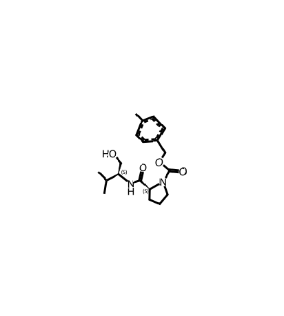 Cc1ccc(COC(=O)N2CCC[C@H]2C(=O)N[C@H](CO)C(C)C)cc1